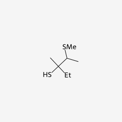 CCC(C)(S)C(C)SC